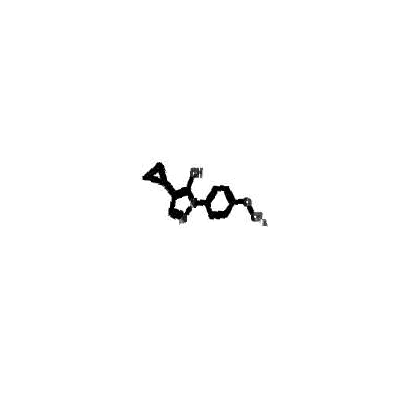 Oc1c(C2CC2)cnn1-c1ccc(OC(F)(F)F)cc1